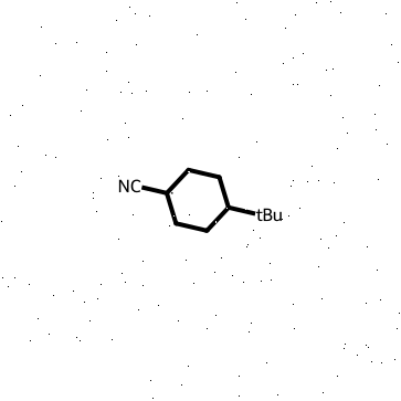 CC(C)(C)C1CC[C](C#N)CC1